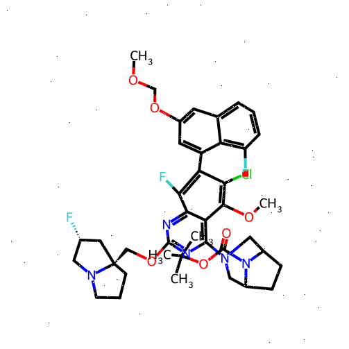 COCOc1cc(-c2c(Cl)c(OC)c3c(N4CC5CCC(C4)N5C(=O)OC(C)(C)C)nc(OC[C@@]45CCCN4C[C@H](F)C5)nc3c2F)c2c(F)cccc2c1